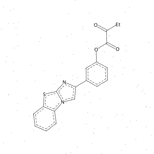 CCC(=O)C(=O)Oc1cccc(-c2cn3c(n2)sc2ccccc23)c1